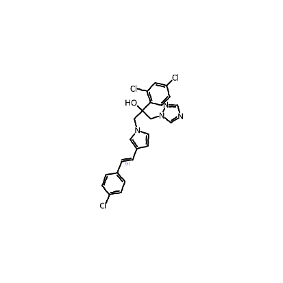 OC(Cn1ccc(/C=C/c2ccc(Cl)cc2)c1)(Cn1cncn1)c1ccc(Cl)cc1Cl